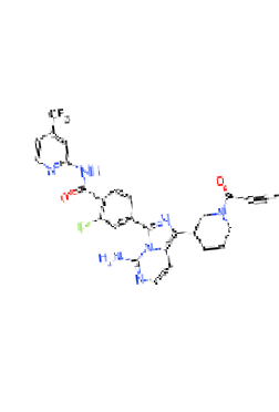 CC#CC(=O)N1CCCC(c2nc(-c3ccc(C(=O)Nc4cc(C(F)(F)F)ccn4)c(F)c3)n3c(N)nccc23)C1